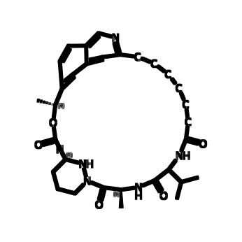 CC(C)C1NC(=O)CCCCCCc2cc3cc(ccc3cn2)[C@@H](C)OC(=O)[C@@H]2CCCN(N2)C(=O)[C@H](C)NC1=O